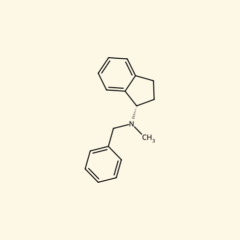 CN(Cc1ccccc1)[C@H]1CCc2ccccc21